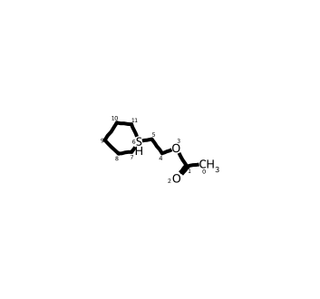 CC(=O)OCC[SH]1CCCCC1